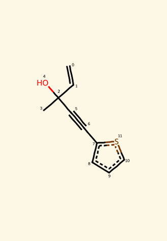 C=CC(C)(O)C#Cc1cccs1